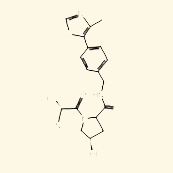 Cc1ncsc1-c1ccc(CNC(=O)C2C[C@@H](O)CN2C(=O)[C@@H](N)C(C)C)cc1